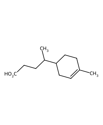 CC1=CCC(C(C)CCC(=O)O)CC1